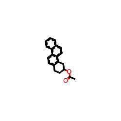 CC(=O)OC1CCc2ccc3c(ccc4ccccc43)c2C1